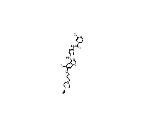 C#CN1CCN(CCCOc2cc3ncnc(Nc4ccc(NC(=O)c5cccc(Cl)c5)nc4)c3cc2OC)CC1